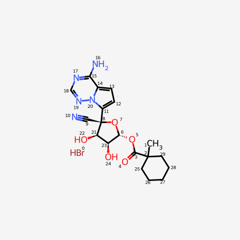 Br.CC1(C(=O)O[C@H]2O[C@@](C#N)(c3ccc4c(N)ncnn34)[C@H](O)[C@@H]2O)CCCCC1